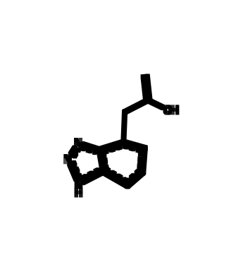 C=C(O)Cc1cccc2[nH]nnc12